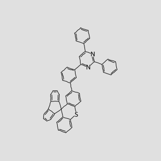 c1ccc(-c2cc(-c3cccc(-c4ccc5c(c4)C4(c6ccccc6S5)c5ccccc5-c5ccccc54)c3)nc(-c3ccccc3)n2)cc1